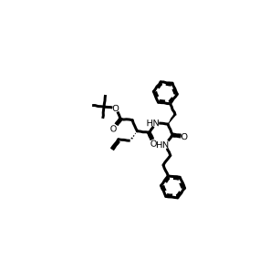 C=CC[C@H](CC(=O)OC(C)(C)C)C(=O)N[C@@H](Cc1ccccc1)C(=O)NCCc1ccccc1